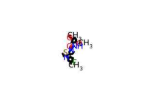 COc1ccc(OC)c(NC(=O)N2CC[C@](c3ccc(C)c(F)c3)(c3nccs3)C2)c1